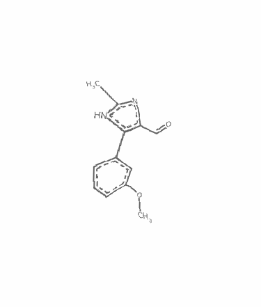 COc1cccc(-c2[nH]c(C)nc2C=O)c1